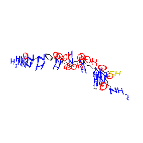 NCCCCC(NC(=O)C1CCCN1)C(=O)NC(CS)C(=O)NCCCCC(NC(=O)CCC(NC(=O)CCC(NC(=O)c1ccc(NCC2=NC3C(=O)NC(N)=NC3N=C2)cc1)C(=O)O)C(=O)O)C(=O)O